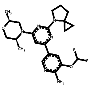 C[C@H]1CN(c2cc(-c3cnc(N)c(OC(F)F)c3)nc(N3CCCC34CC4)n2)[C@@H](C)CO1